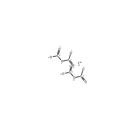 O=S([O-])OS(=O)[O-].O=S([O-])OS(=O)[O-].[C+4]